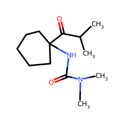 CC(C)C(=O)C1(NC(=O)N(C)C)CCCCC1